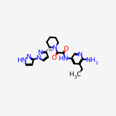 CCc1cc(NC(=O)C(=O)N2CCCC[C@H]2c2ccn(-c3cc[nH]n3)n2)cnc1N